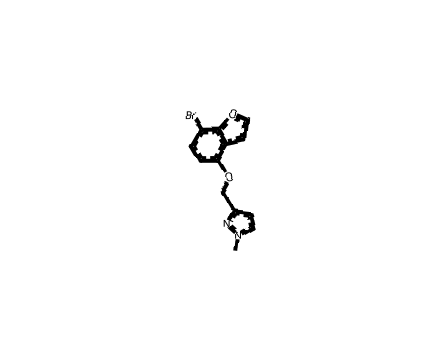 Cn1ccc(COc2ccc(Br)c3occc23)n1